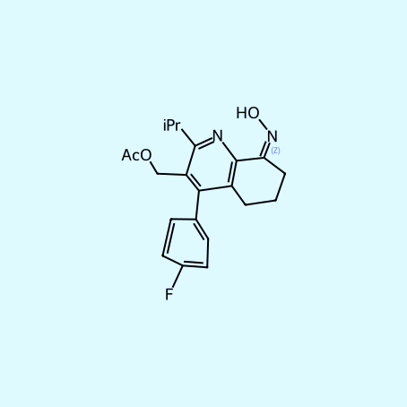 CC(=O)OCc1c(C(C)C)nc2c(c1-c1ccc(F)cc1)CCC/C2=N/O